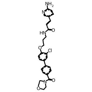 Nc1ccc(/C=C/C(=O)NCCCOc2ccc(-c3ccc(C(=O)N4CCOCC4)cc3)cc2Cl)cn1